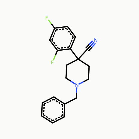 N#CC1(c2ccc(F)cc2F)CCN(Cc2ccccc2)CC1